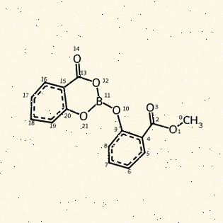 COC(=O)c1ccccc1OB1OC(=O)c2ccccc2O1